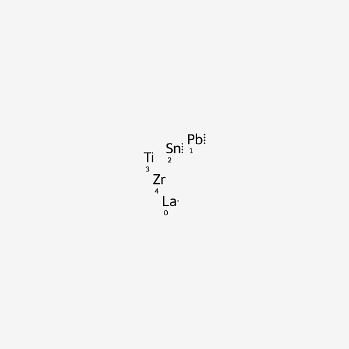 [La].[Pb].[Sn].[Ti].[Zr]